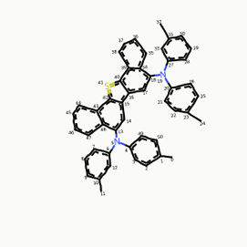 Cc1ccc(N(c2cccc(C)c2)c2cc3c4cc(N(c5ccc(C)cc5)c5cccc(C)c5)c5ccccc5c4sc3c3ccccc23)cc1